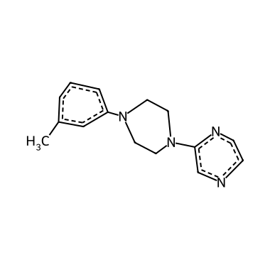 Cc1cccc(N2CCN(c3cnccn3)CC2)c1